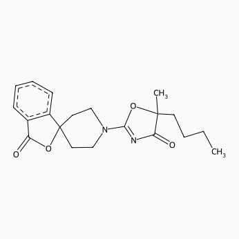 CCCCC1(C)OC(N2CCC3(CC2)OC(=O)c2ccccc23)=NC1=O